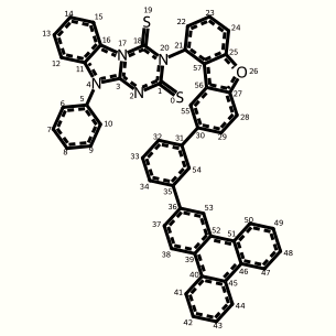 S=c1nc2n(-c3ccccc3)c3ccccc3n2c(=S)n1-c1cccc2oc3ccc(-c4cccc(-c5ccc6c7ccccc7c7ccccc7c6c5)c4)cc3c12